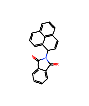 O=C1c2ccccc2C(=O)N1C1C=Cc2cccc3cccc1c23